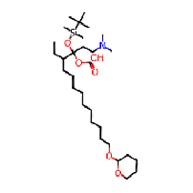 CCC(CCCCCCCCCCOC1CCCCO1)C(CCN(C)C)(OC(=O)O)O[Si](C)(C)C(C)(C)C